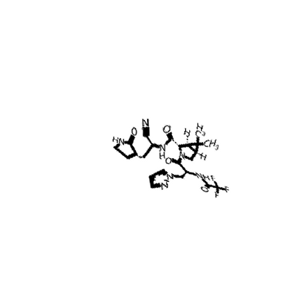 CC1(C)[C@@H]2[C@@H](C(=O)N[C@H](C#N)C[C@@H]3CCNC3=O)N(C(=O)[C@H](Cn3cccn3)NC(=O)C(F)(F)F)C[C@@H]21